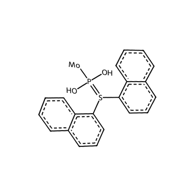 O[P](O)([Mo])=S(c1cccc2ccccc12)c1cccc2ccccc12